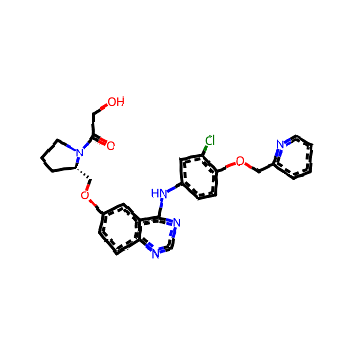 O=C(CO)N1CCC[C@H]1COc1ccc2ncnc(Nc3ccc(OCc4ccccn4)c(Cl)c3)c2c1